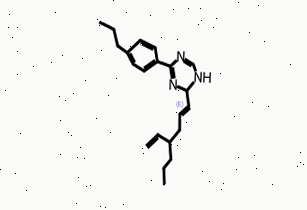 C=CC(C/C=C/C1N=C(c2ccc(CCC)cc2)N=CN1)CCC